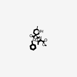 COC(=O)c1nc([C@@]2(C(=O)OCc3ccccc3)CC[C@@H](C)NC2)oc1C